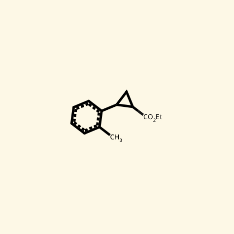 CCOC(=O)C1CC1c1ccccc1C